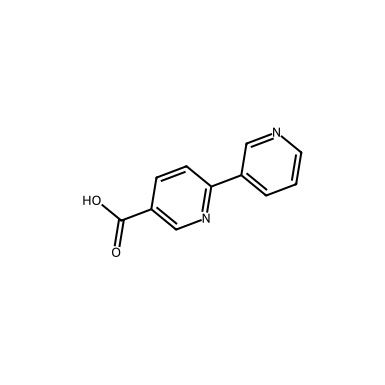 O=C(O)c1ccc(-c2cccnc2)nc1